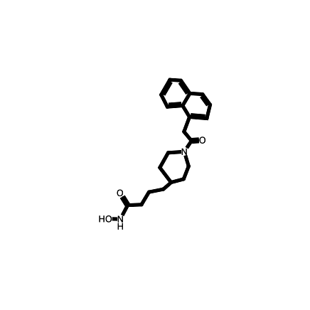 O=C(CCCC1CCN(C(=O)Cc2cccc3ccccc23)CC1)NO